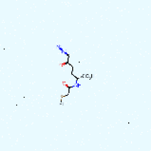 CCSCC(=O)NC(CCC(=O)C=[N+]=[N-])C(=O)O